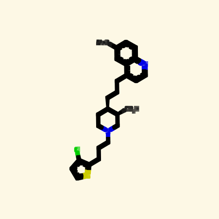 COc1ccc2nccc(CCC[C@@H]3CCN(CCCc4sccc4Cl)C[C@@H]3C(=O)O)c2c1